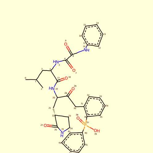 CC(C)CC(NC(=O)C(=O)Nc1ccccc1)C(=O)NC(C[C@@H]1CCNC1=O)C(=O)Cc1ccccc1P(=O)(O)c1ccccc1